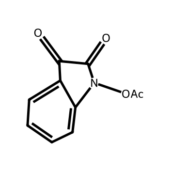 CC(=O)ON1C(=O)C(=O)c2ccccc21